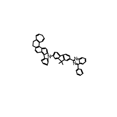 CC1(C)c2cc(-c3nc(-c4ccccc4)c4ccccc4n3)ccc2-c2ccc(-n3c4ccccc4c4c5ccc6c(c5ccc43)C3=C(C=CCC=C3)CC6)cc21